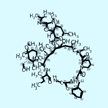 CC[C@H](C)C1NC(=O)[C@H](C)[C@@H](O[C@H]2C[C@@](C)(OC)[C@@H](CO)[C@H](C)O2)[C@H](C)[C@@H](O[C@@H]2O[C@H](C)C[C@H]3[C@H]2O/C(=N/C(C)C)N3C)[C@](C)(O)C[C@@H](C)CN(C)C(=O)[C@@H]2CCCN2C(=O)[C@H](Cc2ccccc2)NC(=O)CNC1=O